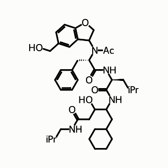 CC(=O)N(C1COc2ccc(CO)cc21)[C@@H](Cc1ccccc1)C(=O)N[C@@H](CC(C)C)C(=O)NC(CC1CCCCC1)C(O)CC(=O)NCC(C)C